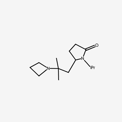 CC(C)N1C(=O)CCC1CC(C)(C)N1CCC1